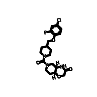 O=C1CO[C@H]2CCN(C(=O)N3CCC(COc4ccc(Cl)cc4F)CC3)C[C@H]2N1